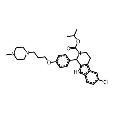 CC(C)OC(=O)N1CCc2c([nH]c3ccc(Cl)cc23)C1c1ccc(OCCCN2CCN(C)CC2)cc1